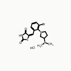 CN(C)C1CCN(c2c(Br)cccc2/C=C2/SC(=O)NC2=O)C1.Cl